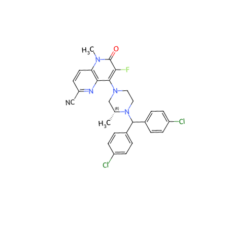 C[C@@H]1CN(c2c(F)c(=O)n(C)c3ccc(C#N)nc23)CCN1C(c1ccc(Cl)cc1)c1ccc(Cl)cc1